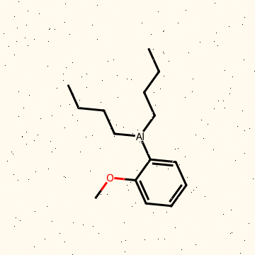 CCC[CH2][Al]([CH2]CCC)[c]1ccccc1OC